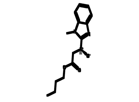 CCCCOC(=O)C[S@+]([O-])c1nc2ccccc2n1C